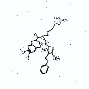 COc1cc2c(cc1OC)CN(C(=O)C(C)NC(CCc1ccccc1)C(=O)O)C(C(=O)OCCCCCON(O)O)C2